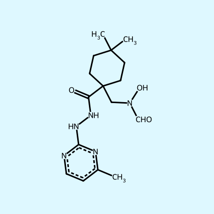 Cc1ccnc(NNC(=O)C2(CN(O)C=O)CCC(C)(C)CC2)n1